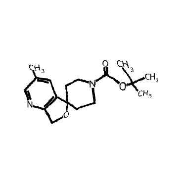 Cc1cnc2c(c1)C1(CCN(C(=O)OC(C)(C)C)CC1)OC2